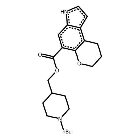 CCCCN1CCC(COC(=O)c2cc3[nH]ccc3c3c2OCCC3)CC1